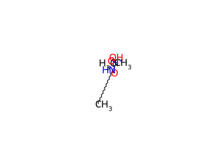 CCCCCCCCCCCCCCCCCCC(=O)NCCC[N+](C)(C)CC(=O)O